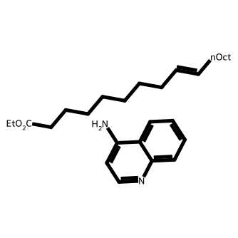 CCCCCCCCC=CCCCCCCCC(=O)OCC.Nc1ccnc2ccccc12